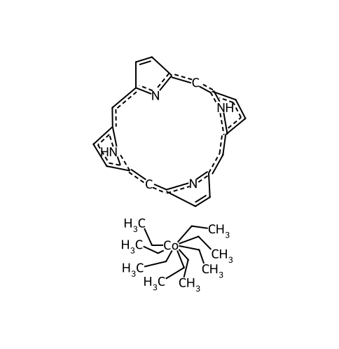 C1=Cc2cc3ccc(cc4nc(cc5ccc(cc1n2)[nH]5)C=C4)[nH]3.C[CH2][Co]([CH2]C)([CH2]C)([CH2]C)([CH2]C)([CH2]C)([CH2]C)[CH2]C